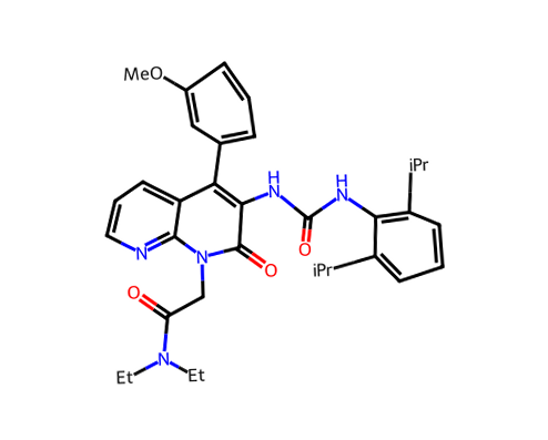 CCN(CC)C(=O)Cn1c(=O)c(NC(=O)Nc2c(C(C)C)cccc2C(C)C)c(-c2cccc(OC)c2)c2cccnc21